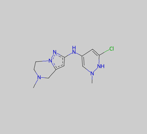 CN1CCn2nc(NC3=CN(C)NC(Cl)=C3)cc2C1